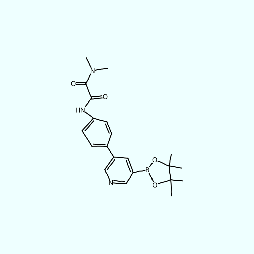 CN(C)C(=O)C(=O)Nc1ccc(-c2cncc(B3OC(C)(C)C(C)(C)O3)c2)cc1